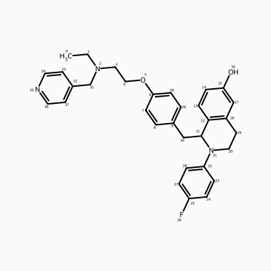 CCN(CCOc1ccc(CC2c3ccc(O)cc3CCN2c2ccc(F)cc2)cc1)Cc1ccncc1